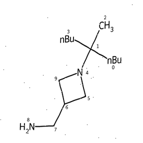 CCCCC(C)(CCCC)N1CC(CN)C1